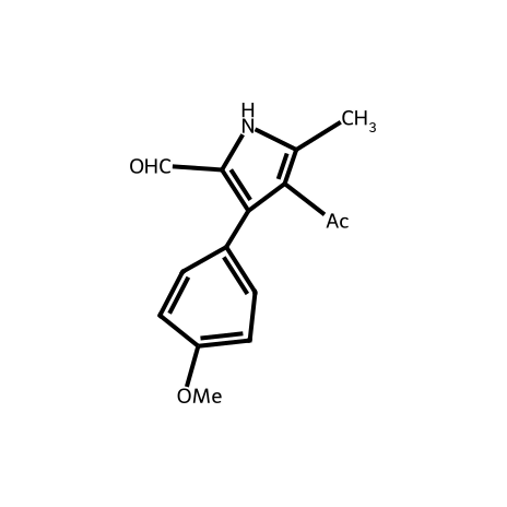 COc1ccc(-c2c(C=O)[nH]c(C)c2C(C)=O)cc1